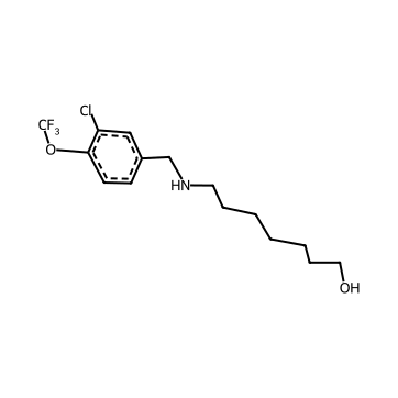 OCCCCCCCNCc1ccc(OC(F)(F)F)c(Cl)c1